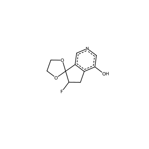 Oc1cncc2c1CC(F)C21OCCO1